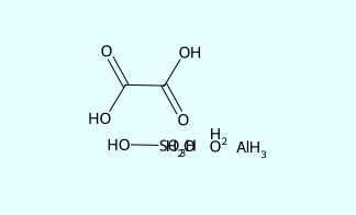 O.O.O=C(O)C(=O)O.O=S(=O)(O)O.[AlH3]